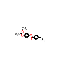 C=Cc1ccc(C(=O)Oc2ccc(OC(C)OCC)cc2)cc1